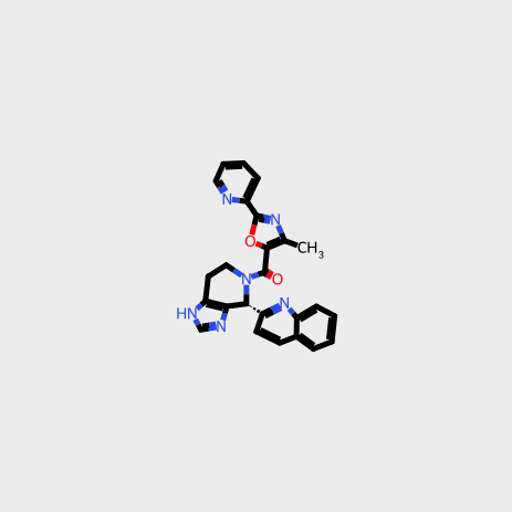 Cc1nc(-c2ccccn2)oc1C(=O)N1CCc2[nH]cnc2[C@H]1c1ccc2ccccc2n1